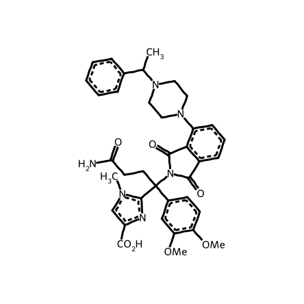 COc1ccc(C(CCC(N)=O)(c2nc(C(=O)O)cn2C)N2C(=O)c3cccc(N4CCN(C(C)c5ccccc5)CC4)c3C2=O)cc1OC